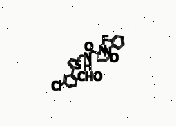 O=Cc1ccc(Cl)cc1-c1ccc(CNC(=O)c2ccc(=O)n(-c3ccccc3F)n2)s1